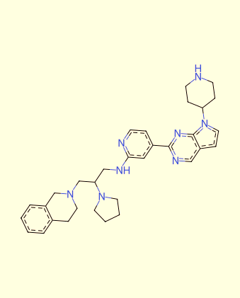 c1ccc2c(c1)CCN(CC(CNc1cc(-c3ncc4ccn(C5CCNCC5)c4n3)ccn1)N1CCCC1)C2